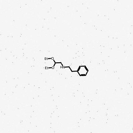 CCOC(CNCCc1ccccc1)OCC